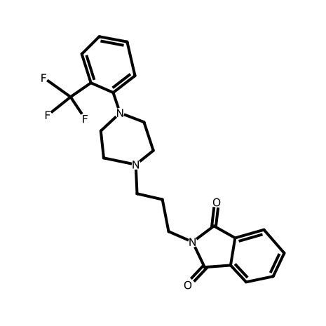 O=C1c2ccccc2C(=O)N1CCCN1CCN(c2ccccc2C(F)(F)F)CC1